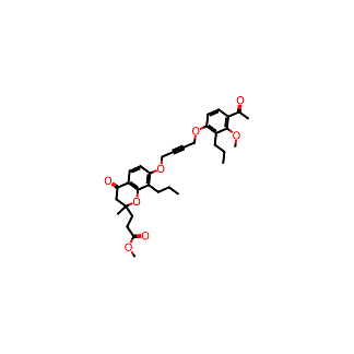 CCCc1c(OCC#CCOc2ccc3c(c2CCC)OC(C)(CCC(=O)OC)CC3=O)ccc(C(C)=O)c1OC